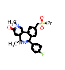 CC(C)S(=O)(=O)Cc1ccc2c(c1)-c1cn(C)c(=O)cc1[C@H](C)N=C2c1ccc(F)cc1